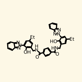 CCc1cc(CNC(=O)c2ccc(C(=O)NCc3cc(CC)cc(-n4nc5ccccc5n4)c3O)cc2)c(O)c(-n2nc3ccccc3n2)c1